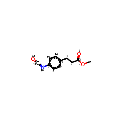 COC(=O)CCc1ccc(N=C=O)cc1